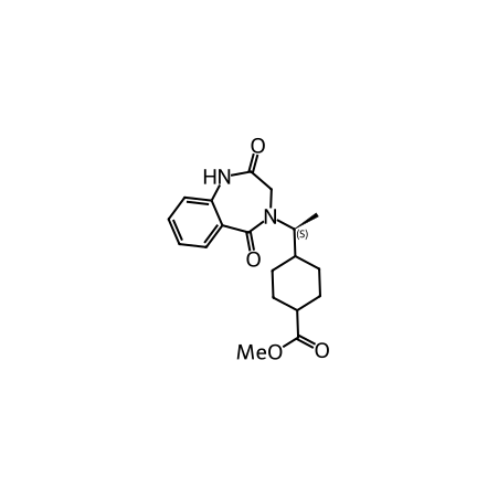 COC(=O)C1CCC([C@H](C)N2CC(=O)Nc3ccccc3C2=O)CC1